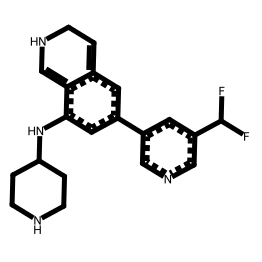 FC(F)c1cncc(-c2cc(NC3CCNCC3)c3c(c2)=CCNC=3)c1